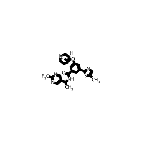 Cc1cnc(-c2cc(O[C@@H]3CN4CCC3CC4)cc(C(=O)NC(C)c3cnc(C(F)(F)F)nc3)c2)s1